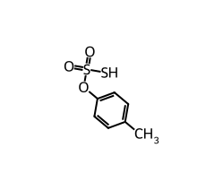 Cc1ccc(OS(=O)(=O)S)cc1